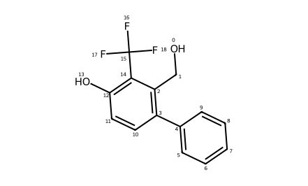 OCc1c(-c2ccccc2)ccc(O)c1C(F)(F)F